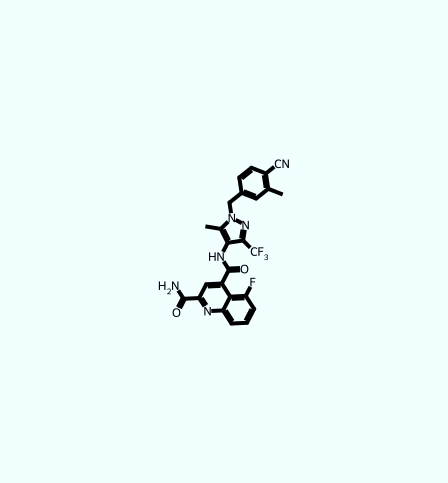 Cc1cc(Cn2nc(C(F)(F)F)c(NC(=O)c3cc(C(N)=O)nc4cccc(F)c34)c2C)ccc1C#N